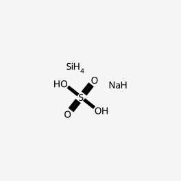 O=S(=O)(O)O.[NaH].[SiH4]